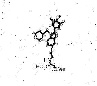 COC[C@H](NCCOc1ccc2c(c1)nc(-c1cc(C)c(=O)n(C)c1)n2CC1CCOCC1)C(=O)O